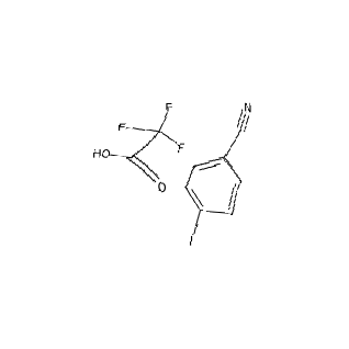 N#Cc1ccc(I)cc1.O=C(O)C(F)(F)F